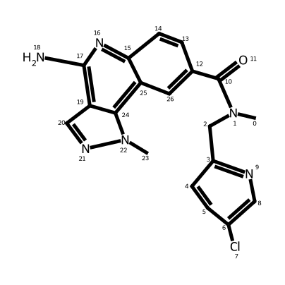 CN(Cc1ccc(Cl)cn1)C(=O)c1ccc2nc(N)c3cnn(C)c3c2c1